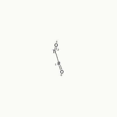 O=[B][Ti]=[O]